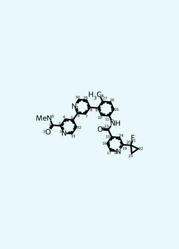 CNC(=O)c1cc(-c2cc(-c3cc(NC(=O)c4ccnc(C5(F)CC5)c4)ccc3C)ccn2)ccn1